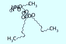 CCCCC/C=C\C/C=C\CCCCCCCC(=O)OCC(COC(=O)CCCCCCC/C=C\C/C=C\CCCCC)OC(=O)CCC(CCCCC)OC(=O)NCCN1CCCC1